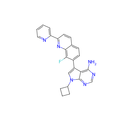 Nc1ncnc2c1c(-c1ccc3ccc(-c4ccccn4)nc3c1F)cn2C1CCC1